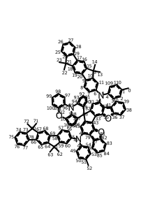 Cc1ccc(N(c2ccc3c(c2)C(C)(C)c2cc4c(cc2-3)C(C)(C)c2ccccc2-4)c2cc3c(c4oc5ccccc5c24)-c2c(cc(N(c4ccc(C)cc4)c4ccc5c(c4)C(C)(C)c4cc6c(cc4-5)C(C)(C)c4ccccc4-6)c4c2oc2ccccc24)C32c3ccccc3N3c4ccccc4Oc4cccc2c43)cc1